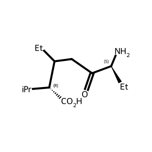 CCC(CC(=O)[C@@H](N)CC)[C@H](C(=O)O)C(C)C